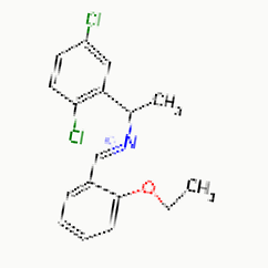 CCOc1ccccc1/C=N/C(C)c1cc(Cl)ccc1Cl